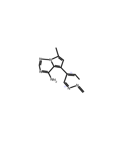 C=N/N=C\C(=C/C)c1cc(C)n2ncnc(N)c12